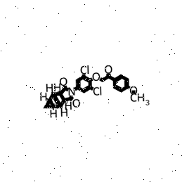 COc1ccc(C(=O)COc2c(Cl)cc(N3C(=O)[C@@H]4[C@@H]5C=C[C@@H]([C@H]6C[C@@H]56)[C@@H]4C3=O)cc2Cl)cc1